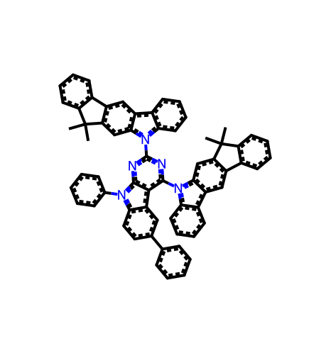 CC1(C)c2ccccc2-c2cc3c4ccccc4n(-c4nc(-n5c6ccccc6c6cc7c(cc65)C(C)(C)c5ccccc5-7)c5c6cc(-c7ccccc7)ccc6n(-c6ccccc6)c5n4)c3cc21